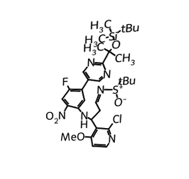 COc1ccnc(Cl)c1C(C/C=N\[S@+]([O-])C(C)(C)C)Nc1cc(-c2cnc(C(C)(C)O[Si](C)(C)C(C)(C)C)nc2)c(F)cc1[N+](=O)[O-]